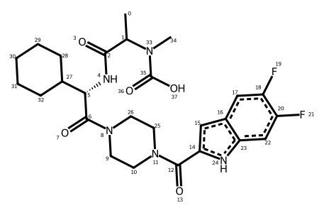 CC(C(=O)N[C@H](C(=O)N1CCN(C(=O)c2cc3cc(F)c(F)cc3[nH]2)CC1)C1CCCCC1)N(C)C(=O)O